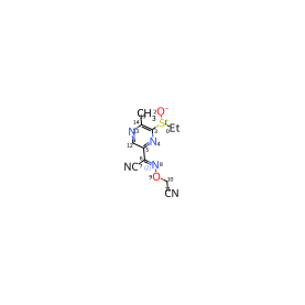 CC[S+]([O-])c1nc(/C(C#N)=N/OCC#N)cnc1C